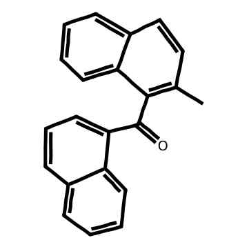 Cc1ccc2ccccc2c1C(=O)c1cccc2ccccc12